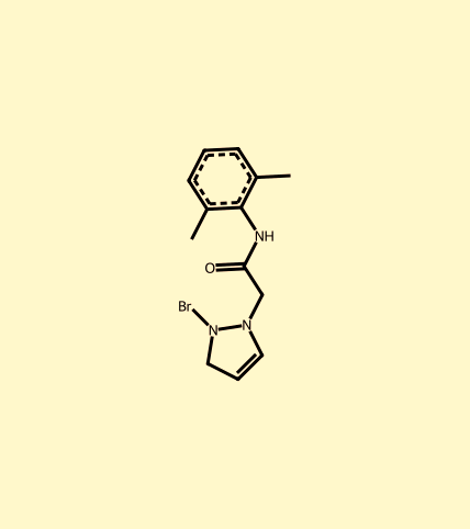 Cc1cccc(C)c1NC(=O)CN1C=CCN1Br